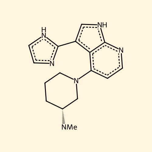 CN[C@@H]1CCCN(c2ccnc3[nH]cc(-c4ncc[nH]4)c23)C1